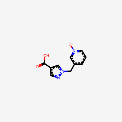 O=C(O)c1cnn(Cc2ccc[n+]([O-])c2)c1